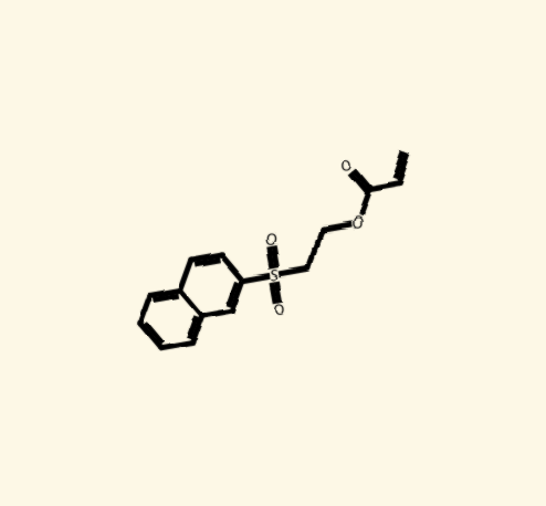 C=CC(=O)OCCS(=O)(=O)c1ccc2ccccc2c1